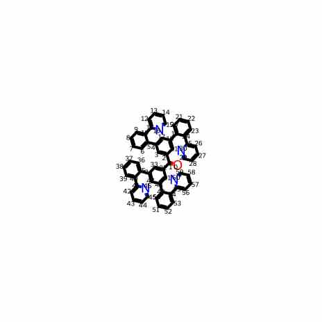 O=C(c1cc(-c2ccccc2-c2ccccn2)cc(-c2ccccc2-c2ccccn2)c1)c1cc(-c2ccccc2-c2ccccn2)cc(-c2ccccc2-c2ccccn2)c1